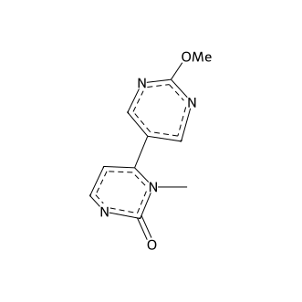 COc1ncc(-c2ccnc(=O)n2C)cn1